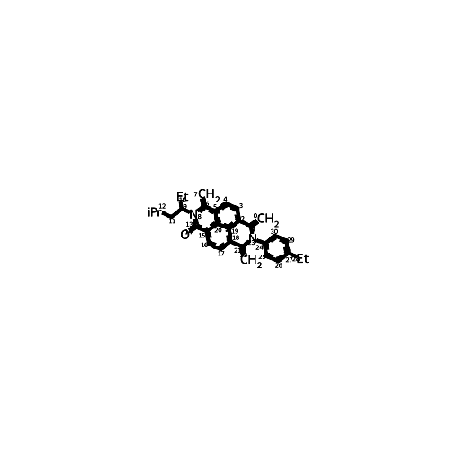 C=C1c2ccc3c(=C)n(C(CC)CC(C)C)c(=O)c4ccc(c2c34)C(=C)N1c1ccc(CC)cc1